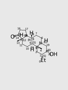 CC[C@H]1C[C@@]2(C)[C@@H](CC[C@@H]3[C@@H]2CC[C@]2(C)C(=O)CC[C@@H]32)C[C@@H]1O